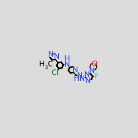 Cc1cncnc1-c1cc(Cl)cc(Nc2ccc(/C=N/Nc3ncc(F)c(N4CCOCC4)n3)nc2)c1